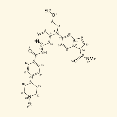 CCOCCN(c1ccnc(NC(=O)c2ccc(C3CCN(CC)CC3)cc2)c1)c1ccc2c(ccn2C(=O)NC)c1